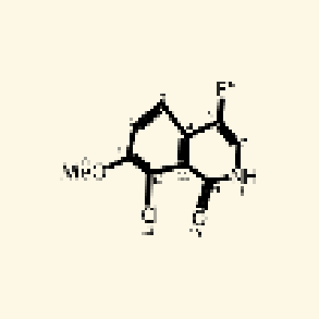 COc1ccc2c(F)c[nH]c(=O)c2c1Cl